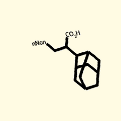 CCCCCCCCCCC(C(=O)O)C1C2CC3CC(C2)CC1C3